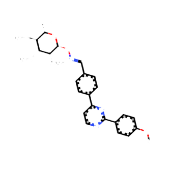 CO[C@@H]1[C@@H](OC)[C@H](C)O[C@@H](O/N=C/c2ccc(-c3ccnc(-c4ccc(OC(F)(F)F)cc4)n3)cc2)[C@@H]1OC